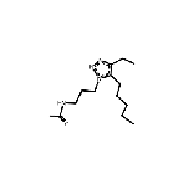 CCCCCc1c(CC)nnn1CCCNC(C)=O